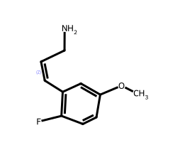 COc1ccc(F)c(/C=C\CN)c1